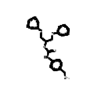 CCc1ccc(NC(=O)OC(CSc2ccccc2)CSc2ccccc2)cc1